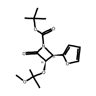 COC(C)(C)O[C@H]1C(=O)N(C(=O)OC(C)(C)C)[C@H]1c1ccco1